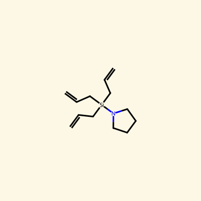 C=CC[Si](CC=C)(CC=C)N1CCCC1